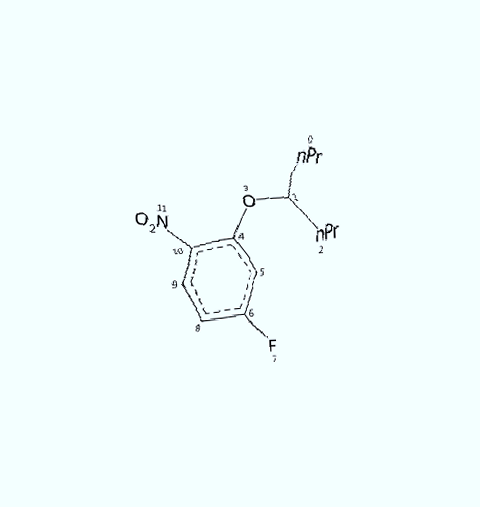 CCCC(CCC)Oc1cc(F)ccc1[N+](=O)[O-]